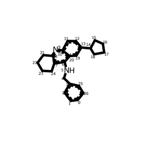 c1ccc(CNc2c3c(nc4ccc(C5CCCC5)cc24)CCCC3)cc1